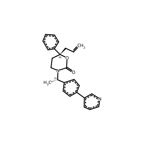 C=CC[C@]1(c2ccccc2)CCN([C@@H](C)c2ccc(-c3cccnc3)cc2)C(=O)O1